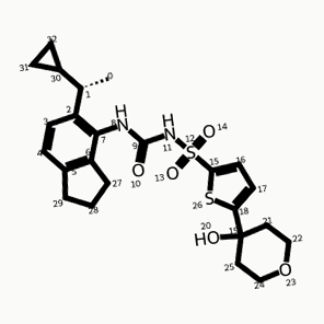 C[C@H](c1ccc2c(c1NC(=O)NS(=O)(=O)c1ccc(C3(O)CCOCC3)s1)CCC2)C1CC1